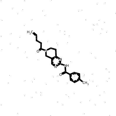 C=CCCC(=O)N1CCc2nc(NC(=O)c3ccc(C)cc3)ncc2C1